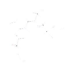 CCOC(=O)/C(C)=C/[C@H](C(C)C)N(C)C(=O)[C@@H](NC(=O)C(C)(N)COC)C(C)(C)C